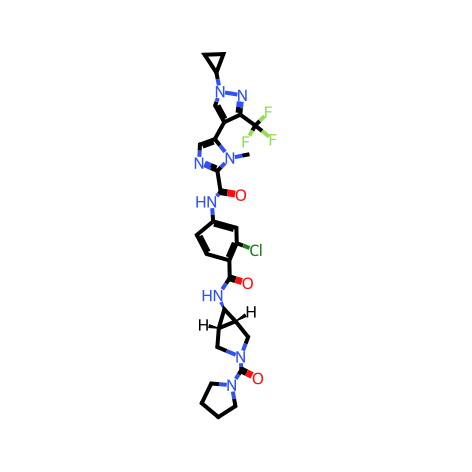 Cn1c(-c2cn(C3CC3)nc2C(F)(F)F)cnc1C(=O)Nc1ccc(C(=O)N[C@H]2[C@@H]3CN(C(=O)N4CCCC4)C[C@@H]32)c(Cl)c1